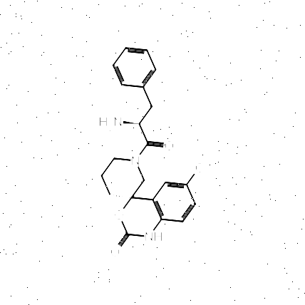 N[C@@H](Cc1ccccc1)C(=O)N1CCC[C@@]2(C1)OC(=O)Nc1ccc(Cl)cc12